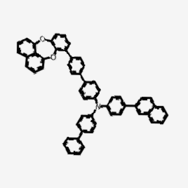 c1ccc(-c2ccc(N(c3ccc(-c4ccc(-c5cccc6c5Oc5cccc7cccc(c57)O6)cc4)cc3)c3ccc(-c4ccc5ccccc5c4)cc3)cc2)cc1